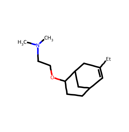 CCC1=CC2CCC(OCCN(C)C)C(C1)C2